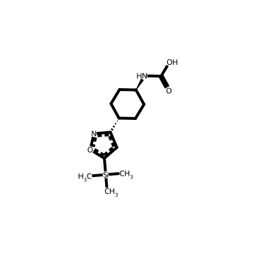 C[Si](C)(C)c1cc([C@H]2CC[C@H](NC(=O)O)CC2)no1